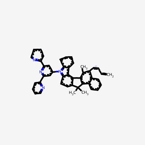 C=C/C=C\c1c(C)c2c(c3ccccc13)C(C)(C)c1ccc3c(c1-2)c1ccccc1n3-c1cc(-c2ccccn2)nc(-c2ccccn2)c1